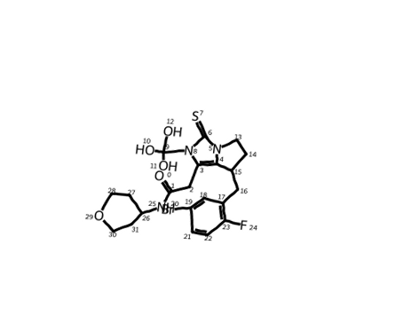 O=C(Cc1c2n(c(=S)n1C(O)(O)O)CCC2Cc1cc(Br)ccc1F)NC1CCOCC1